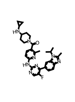 Cc1nc(Nc2ncc(F)c(-c3ccc4nc(C)n(C(C)C)c4c3)n2)ccc1C(=O)N1CCC(NC2CC2)CC1